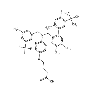 Cc1cc(CN(Cc2cc(C)c(C)cc2-c2cc(C(C)(C)O)c(F)cc2C)c2ncc(OCCCC(=O)O)cn2)cc(C(F)(F)F)c1